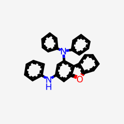 c1ccc(Nc2cc(N(c3ccccc3)c3ccccc3)c3c(c2)oc2ccccc23)cc1